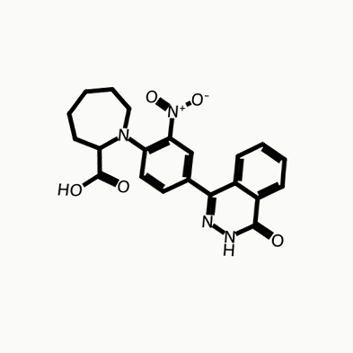 O=C(O)C1CCCCCN1c1ccc(-c2n[nH]c(=O)c3ccccc23)cc1[N+](=O)[O-]